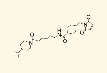 CC(C)C1CCN(C(=O)CCCCCNC(=O)C2CCC(CN3C(=O)C=CC3=O)CC2)CC1